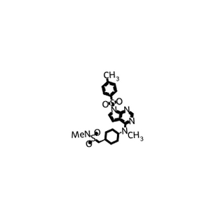 CNS(=O)(=O)C[C@H]1CC[C@H](N(C)c2ncnc3c2ccn3S(=O)(=O)c2ccc(C)cc2)CC1